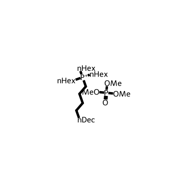 CCCCCCCCCCCCCC[P+](CCCCCC)(CCCCCC)CCCCCC.COP(=O)(OC)OC